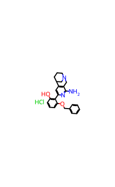 Cl.Nc1nc(-c2c(O)cccc2OCc2ccccc2)cc2c1CN1CCCC2C1